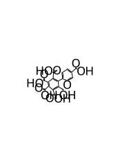 O=C(O)c1ccc(-c2c(C(=O)O)c(C(=O)O)c(C(=O)O)c(C(=O)O)c2C(=O)O)cc1